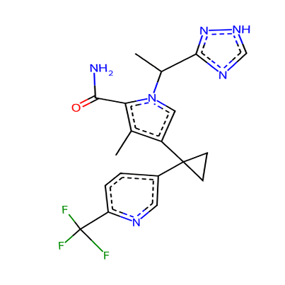 Cc1c(C2(c3ccc(C(F)(F)F)nc3)CC2)cn(C(C)c2nc[nH]n2)c1C(N)=O